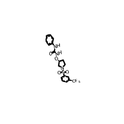 O=C(NO[C@H]1CCN(S(=O)(=O)c2cccc(C(F)(F)F)c2)C1)Nc1ccccc1